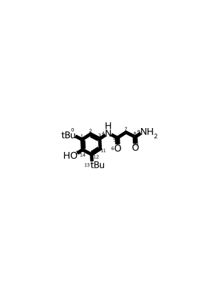 CC(C)(C)c1cc(NC(=O)CC(N)=O)cc(C(C)(C)C)c1O